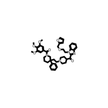 COc1cc(C(=O)N2CCCC(CCN3CCC(C(=O)c4nc5ccccc5n4CCOCc4ccco4)CC3)(c3ccccc3)C2)cc(OC)c1OC